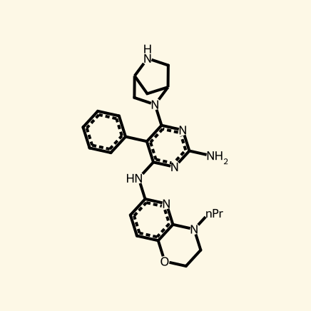 CCCN1CCOc2ccc(Nc3nc(N)nc(N4CC5CC4CN5)c3-c3ccccc3)nc21